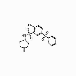 O=S(=O)(NC1CCNCC1)c1cc(S(=O)(=O)c2ccccc2)ccc1Cl